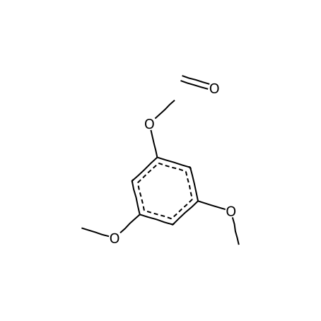 C=O.COc1cc(OC)cc(OC)c1